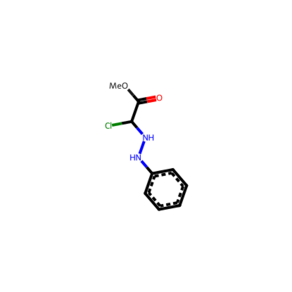 COC(=O)C(Cl)NNc1ccccc1